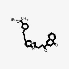 CC(OC(C)(C)C)C1CCCC(CCCc2ccc3nc(CCC(=O)C4=CC(=O)C5C=CC=CC5=C4)cn3c2)C1